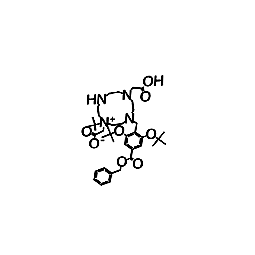 CC(C)(C)Oc1cc(C(=O)OCc2ccccc2)cc(OC(C)(C)C)c1CN1CCN(CC(=O)O)CCNCC[N+](CC(=O)[O-])(C(C)(C)C)CC1